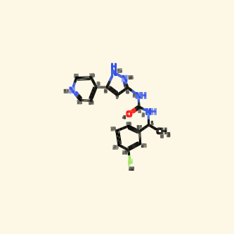 CC(NC(=O)Nc1cc(-c2ccncc2)[nH]n1)c1cccc(F)c1